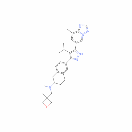 Cc1cc(-c2[nH]nc(-c3ccc4c(c3)CCC(N(C)CC3(C)COC3)C4)c2C(C)C)cn2ncnc12